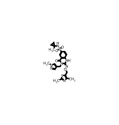 Cc1nc(C)c(CON=c2[nH]c3ccc(S(=O)(=O)NC4(C)CC4)cc3c(=O)n2Cc2cnn(C)c2)s1